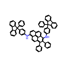 c1ccc(-c2c(Nc3ccc(C4(c5ccccc5)c5ccccc5-c5ccccc54)cc3)c3ccc4ccc(Nc5ccc(C6(c7ccccc7)c7ccccc7-c7ccccc76)cc5)c5ccc(c2-c2ccccc2)c3c45)cc1